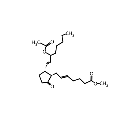 CCCCCC(C=C[C@H]1CCC(=O)[C@@H]1CC=CCCCC(=O)OC)OC(C)=O